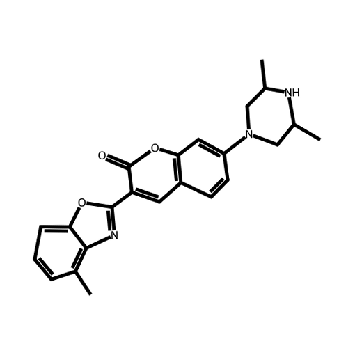 Cc1cccc2oc(-c3cc4ccc(N5CC(C)NC(C)C5)cc4oc3=O)nc12